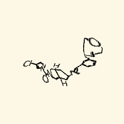 CN(Cc1cccc(N2CCOCC2)c1)[C@H]1C[C@@H]2CN(C(=O)n3cc(Cl)cn3)C[C@@H]2C1